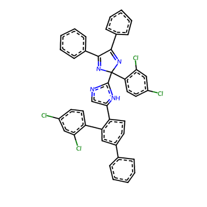 Clc1ccc(-c2cc(-c3ccccc3)ccc2-c2cnc(C3(c4ccc(Cl)cc4Cl)N=C(c4ccccc4)C(c4ccccc4)=N3)[nH]2)c(Cl)c1